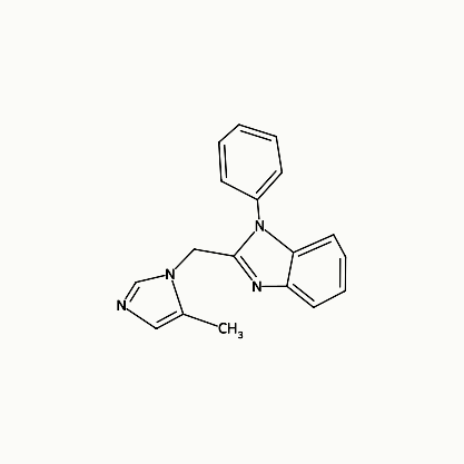 Cc1cncn1Cc1nc2ccccc2n1-c1ccccc1